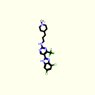 CN1CCC(CCCNc2ncc(-c3nc4c(Cl)cc(Cl)cc4[nH]3)c(C(F)(F)F)n2)CC1